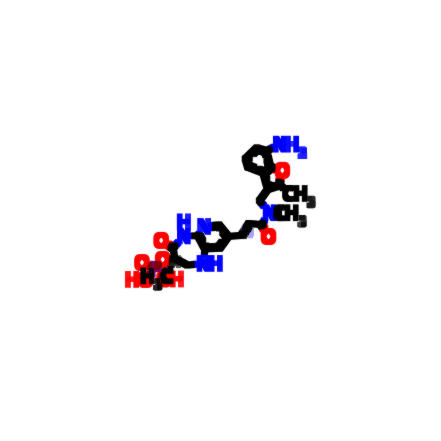 Cc1oc2c(N)cccc2c1CN(C)C(=O)/C=C/c1cnc2c(c1)NC[C@@](C)(OP(=O)(O)O)C(=O)N2